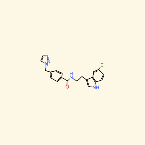 O=C(NCCc1c[nH]c2ccc(Cl)cc12)c1ccc(Cn2cccn2)cc1